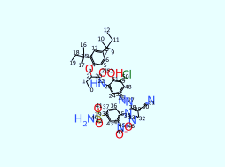 CCC(Oc1ccc(C(C)(C)CC)cc1C(C)(C)CC)C(=O)Nc1cc(/N=N/c2c(C#N)cnn2-c2ccc(S(N)(=O)=O)cc2[N+](=O)[O-])cc(Cl)c1O